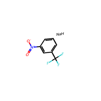 O=[N+]([O-])c1cccc(C(F)(F)F)c1.[NaH]